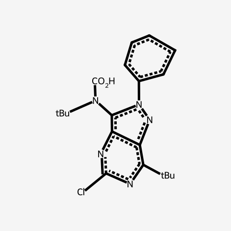 CC(C)(C)c1nc(Cl)nc2c(N(C(=O)O)C(C)(C)C)n(-c3ccccc3)nc12